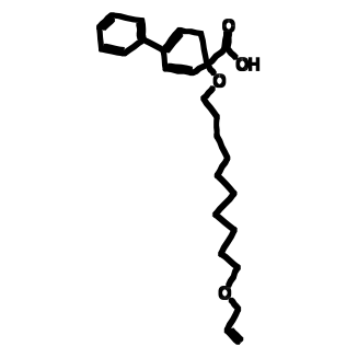 C=CCOCCCCCCCCCCOC1(C(=O)O)C=CC(c2ccccc2)=CC1